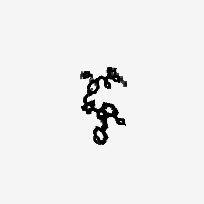 CN(C)C(=O)CN1CCN(Cc2nc(-c3cn(CC4CCOCC4)c4c(Cl)cccc34)no2)C[C@@H]1CO